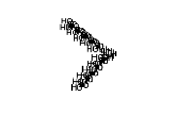 O=[Si](O)O.O=[Si](O)O.O=[Si](O)O.O=[Si](O)O.O=[Si](O)O.O=[Si](O)O.O=[Si](O)O.O=[Si](O)O.O=[Si](O)O.O=[Si](O)O.[LiH].[LiH].[LiH].[LiH].[LiH].[LiH]